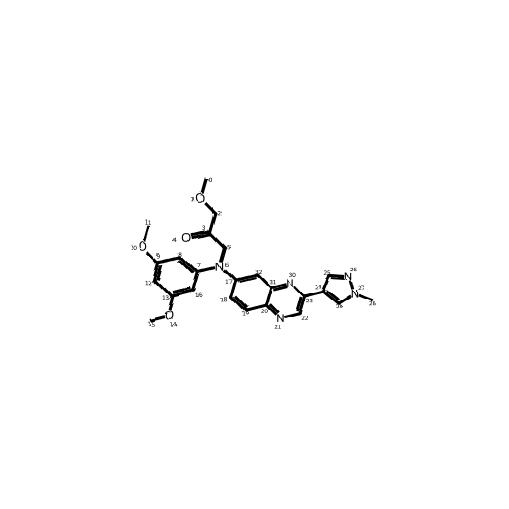 COCC(=O)CN(c1cc(OC)cc(OC)c1)c1ccc2ncc(-c3cnn(C)c3)nc2c1